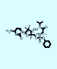 CC(C)OC(=O)[C@H](C)N[P@@](=O)(OC[C@@]1(F)O[C@@H](n2ccc(N)nc2=O)[C@](C)(F)[C@@H]1O)Oc1ccccc1